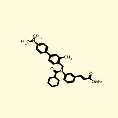 COC(=O)/C=C/c1cccc(N(Cc2ccc(-c3ccc(N(C)C)cc3)cc2C)C(=O)C2CCCCC2)c1